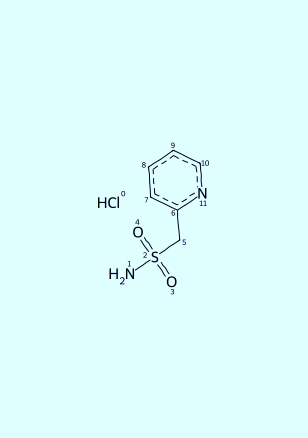 Cl.NS(=O)(=O)Cc1ccccn1